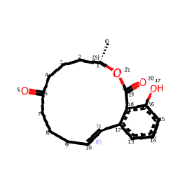 C[C@H]1CCCC(=O)CCC/C=C/c2c[c]cc(O)c2C(=O)O1